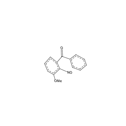 COc1cccc(C(=O)c2ccccc2)c1N=O